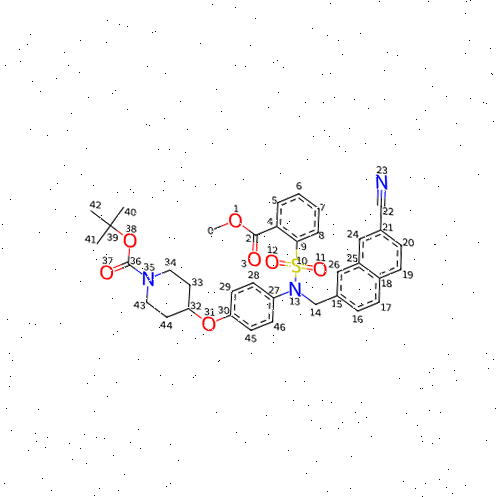 COC(=O)c1ccccc1S(=O)(=O)N(Cc1ccc2ccc(C#N)cc2c1)c1ccc(OC2CCN(C(=O)OC(C)(C)C)CC2)cc1